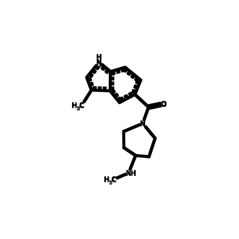 CNC1CCN(C(=O)c2ccc3[nH]cc(C)c3c2)CC1